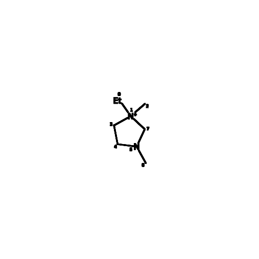 CC[N+]1(C)CCN(C)C1